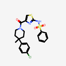 CC1(c2ccc(Cl)cc2)CCN(C(=O)c2csc(NS(=O)(=O)c3ccccc3)n2)CC1